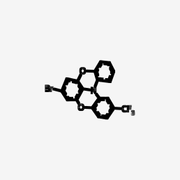 FC(F)(F)c1ccc2c(c1)N1c3ccccc3Oc3cc(Br)cc(c31)O2